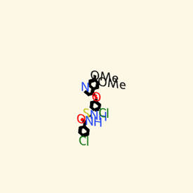 COc1cc2nccc(Oc3ccc(NC(=S)NC(=O)c4ccc(Cl)cc4)c(Cl)c3)c2cc1OC